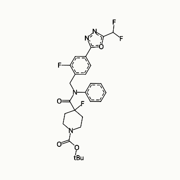 CC(C)(C)OC(=O)N1CCC(F)(C(=O)N(Cc2ccc(-c3nnc(C(F)F)o3)cc2F)c2ccccc2)CC1